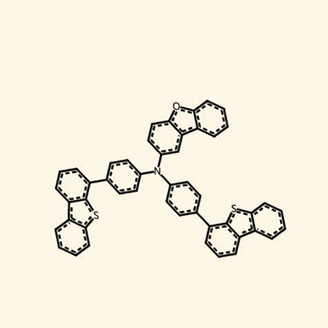 c1ccc2c(c1)oc1ccc(N(c3ccc(-c4cccc5c4sc4ccccc45)cc3)c3ccc(-c4cccc5c4sc4ccccc45)cc3)cc12